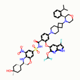 CC(C)c1ccccc1[C@H]1COCCN1C1CC2(CCN(c3ccc(C(=O)NS(=O)(=O)c4cc5c(c([N+](=O)[O-])c4)N[C@@H]([C@H]4CC[C@](C)(O)CC4)CO5)c(Oc4cc5c(F)c[nH]c5nc4OC(F)F)c3)CC2)C1